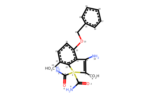 NC(=O)S1(C(N)=O)C(C(=O)O)=C(N)c2c(OCc3ccccc3)ccc(C(=O)O)c21